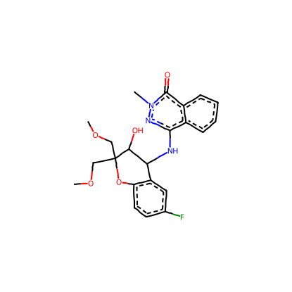 COCC1(COC)Oc2ccc(F)cc2C(Nc2nn(C)c(=O)c3ccccc23)C1O